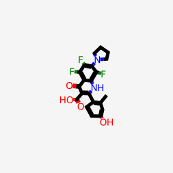 Cc1cc(O)ccc1-c1[nH]c2c(F)c(N3CCCC3)c(F)c(F)c2c(=O)c1C(=O)O